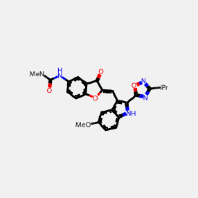 CNC(=O)Nc1ccc2c(c1)C(=O)C(=Cc1c(-c3nc(C(C)C)no3)[nH]c3ccc(OC)cc13)O2